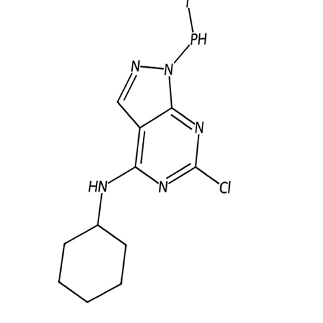 Clc1nc(NC2CCCCC2)c2cnn(PI)c2n1